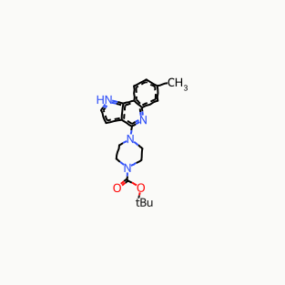 Cc1ccc2c(c1)nc(N1CCN(C(=O)OC(C)(C)C)CC1)c1cc[nH]c12